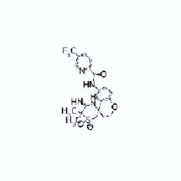 CC1(C)C(=N)N[C@@]2(CCOc3ccc(NC(=O)c4ccc(C(F)(F)F)cn4)cc32)CS1(=O)=O